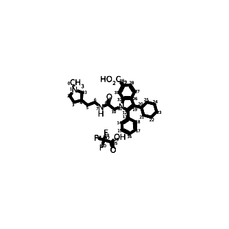 CN1CCC(CCNC(=O)Cn2c(-c3ccccc3)c(C3CCCCC3)c3ccc(C(=O)O)cc32)C1.O=C(O)C(F)(F)F